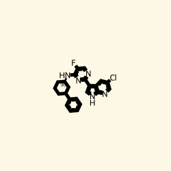 Fc1cnc(-c2c[nH]c3ncc(Cl)cc23)nc1N[C@@H]1CCCC(c2ccccc2)C1